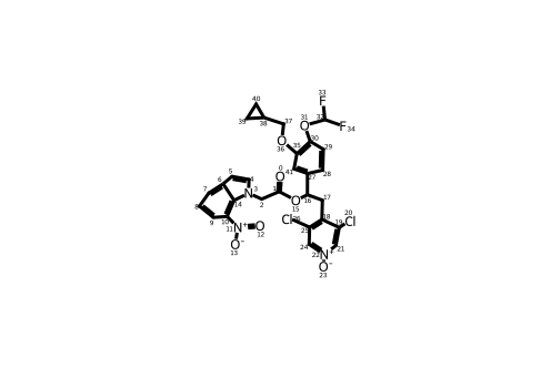 O=C(Cn1ccc2cccc([N+](=O)[O-])c21)OC(Cc1c(Cl)c[n+]([O-])cc1Cl)c1ccc(OC(F)F)c(OCC2CC2)c1